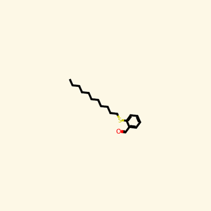 CCCCCCCCCCCSc1ccccc1C=O